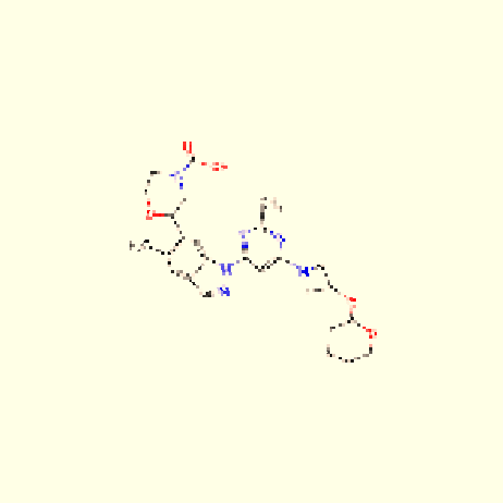 Cc1nc(N2CC(OC3CCCCO3)C2)cc(-n2ncc3cc(C)c(C4CN(C(=O)O)CCO4)cc32)n1